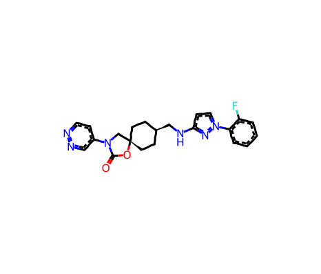 O=C1O[C@]2(CC[C@H](CNc3ccn(-c4ccccc4F)n3)CC2)CN1c1ccnnc1